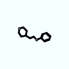 [c]1cccc(OCCC2CCOCC2)c1